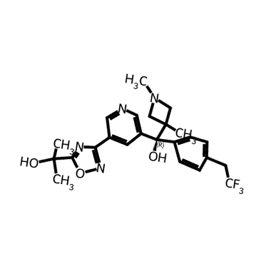 CN1CC(C)([C@](O)(c2ccc(CC(F)(F)F)cc2)c2cncc(-c3noc(C(C)(C)O)n3)c2)C1